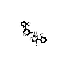 O=C1CCCN1c1cncc(Nc2ncc(Cl)c(-c3ccccc3Cl)n2)c1